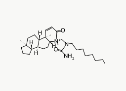 CCCCCCCCN(C[N+]1(C)C(=O)C=C[C@@]2(C)[C@H]1CC[C@H]1[C@@H]3CCC[C@@]3(C)CC[C@@H]12)C(N)=O